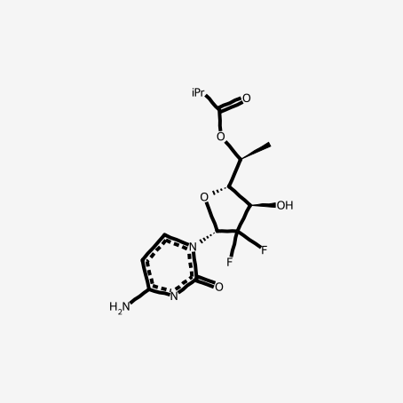 CC(C)C(=O)O[C@@H](C)[C@H]1O[C@@H](n2ccc(N)nc2=O)C(F)(F)[C@@H]1O